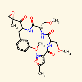 COCC(NC(=O)c1cc(C)on1)C(=O)N[C@@H](COC)C(=O)NC(Cc1cccc(OC)c1)C(=O)C1(C)CO1